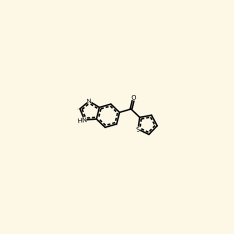 O=C(c1ccc2[nH][c]nc2c1)c1cccs1